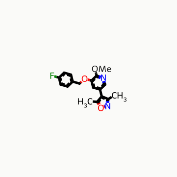 COc1ncc(-c2c(C)noc2C)cc1OCc1ccc(F)cc1